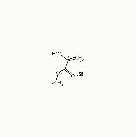 C=C(C)C(=O)OC.[Si]